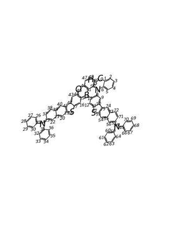 Cc1ccccc1N1c2cc3c(cc2B2c4cc5sc6cc7cc(N(c8ccccc8)c8ccccc8)ccc7cc6c5cc4Oc4cccc1c42)sc1cc2cc(N(c4ccccc4)c4ccccc4)ccc2cc13